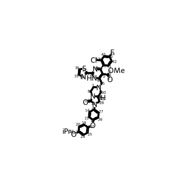 COC(=O)C1=C(CN2CCN3C(=O)N(c4ccc(Oc5ccc(OC(C)C)cc5)cc4)C[C@@H]3C2)NC(c2nccs2)=N[C@H]1c1ccc(F)cc1Cl